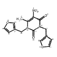 Cc1c([N+](=O)[O-])c(=O)n(Cc2ccoc2)c(=O)n1Cc1ccoc1